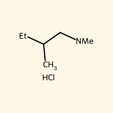 CCC(C)CNC.Cl